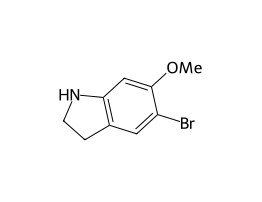 COc1cc2c(cc1Br)CCN2